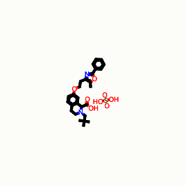 Cc1oc(-c2ccccc2)nc1CCOc1ccc2c(c1)C(C(=O)O)N(CC(C)(C)C)CC2.O=S(=O)(O)O